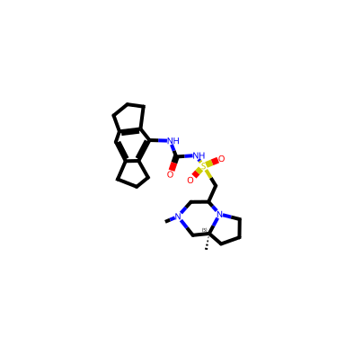 CN1CC(CS(=O)(=O)NC(=O)Nc2c3c(cc4c2CCC4)CCC3)N2CCC[C@@]2(C)C1